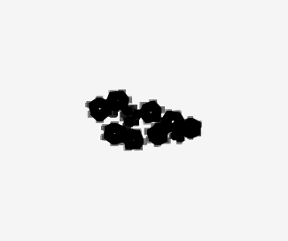 CC1(C)c2ccccc2-c2ccc3c(c21)c1ccccc1n3-c1cccc(-c2nc(-c3cccc4c3oc3ccccc34)nc(-n3c4ccccc4c4ccccc43)n2)c1